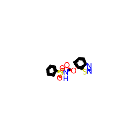 O=C(NS(=O)(=O)c1ccccc1)Oc1cccc2nnsc12